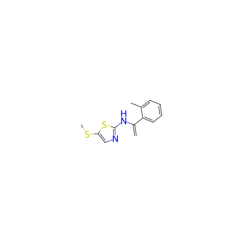 C=C(Nc1ncc(SC)s1)c1ccccc1C